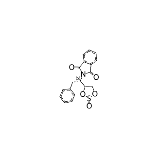 O=C1c2ccccc2C(=O)N1[C@@H](Cc1ccccc1)C1COS(=O)O1